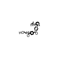 CC(C)Nc1cccnc1N1CCN(C(=O)c2ccc(C(=O)NCCO)cc2)CC1